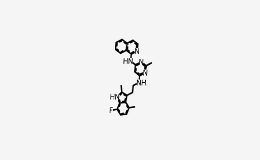 Cc1nc(NCCc2c(C)[nH]c3c(F)ccc(C)c23)cc(Nc2nccc3ccccc23)n1